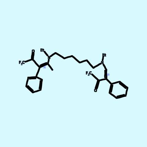 CCN(/C=C(\C(=O)C(F)(F)F)c1ccccc1)CCCCCCN(CC)/C(C)=C(\C(=O)C(F)(F)F)c1ccccc1